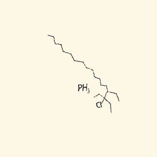 CCCCCCCCCCCCCCC(CC)C(Cl)(CC)CC.P